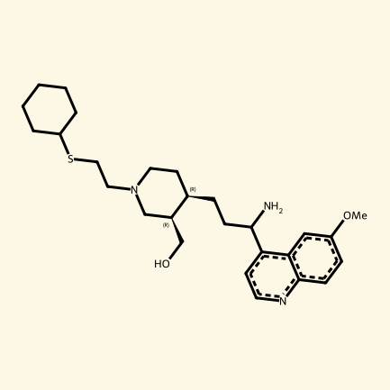 COc1ccc2nccc(C(N)CC[C@@H]3CCN(CCSC4CCCCC4)C[C@@H]3CO)c2c1